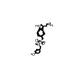 CNCCc1c[nH]c2ccc(CS(=O)(=O)N(C)Cc3ccc(OC)cc3)cc12